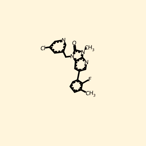 Cc1cccc(-c2cnc3c(c2)n(Cc2cncc(Cl)c2)c(=O)n3C)c1F